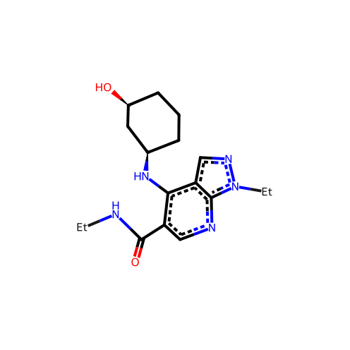 CCNC(=O)c1cnc2c(cnn2CC)c1N[C@@H]1CCC[C@H](O)C1